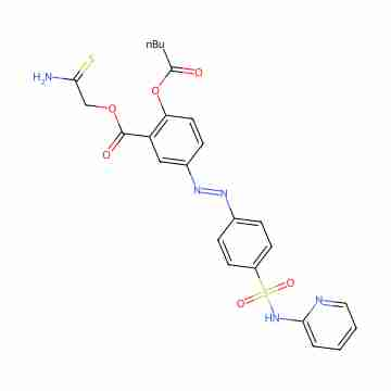 CCCCC(=O)Oc1ccc(/N=N/c2ccc(S(=O)(=O)Nc3ccccn3)cc2)cc1C(=O)OCC(N)=S